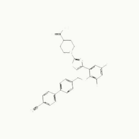 N#Cc1ccc(-c2ccc(COc3c(F)cc(F)cc3-c3csc(N4CCC(C(=O)O)CC4)n3)cc2)cc1